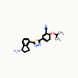 CC(C)OC1CC=C(c2nnc(-c3cccc4c3CC[C@@H]4N)s2)C=C1C#N